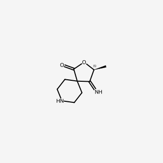 C[C@@H]1OC(=O)C2(CCNCC2)C1=N